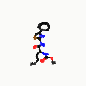 CSCC[C@H](NC(=O)OC(C)(C)C)C(=O)Nc1nc(-c2ccccc2)cs1